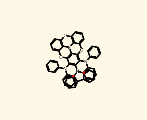 c1ccc(N(c2ccccc2)c2c3c4c(c(N(c5ccccc5)c5ccccc5)c2-n2c5ccccc5c5ccccc52)Oc2cccc5c2B4c2c(cccc2O3)O5)cc1